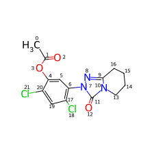 CC(=O)Oc1cc(-n2nc3n(c2=O)CCCC3)c(Cl)cc1Cl